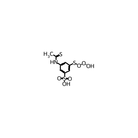 CC(=S)Nc1cc(SOOO)cc(S(=O)(=O)O)c1